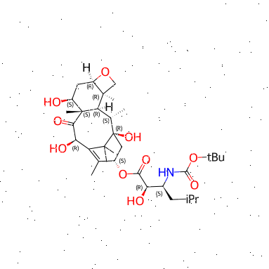 CC1=C2[C@@H](O)C(=O)[C@@]3(C)[C@H]([C@H](C)[C@](O)(C[C@@H]1OC(=O)[C@H](O)[C@H](CC(C)C)NC(=O)OC(C)(C)C)C2(C)C)[C@]1(C)CO[C@@H]1C[C@@H]3O